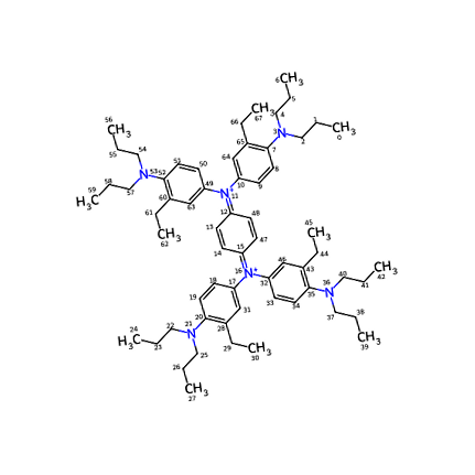 CCCN(CCC)c1ccc([N+](=C2C=CC(=[N+](c3ccc(N(CCC)CCC)c(CC)c3)c3ccc(N(CCC)CCC)c(CC)c3)C=C2)c2ccc(N(CCC)CCC)c(CC)c2)cc1CC